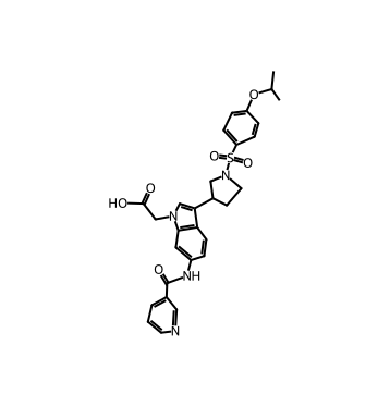 CC(C)Oc1ccc(S(=O)(=O)N2CCC(c3cn(CC(=O)O)c4cc(NC(=O)c5cccnc5)ccc34)C2)cc1